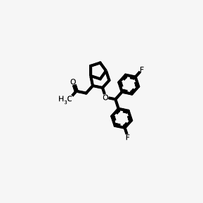 CC(=O)CC1C2CCC(C2)CC1OC(c1ccc(F)cc1)c1ccc(F)cc1